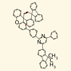 CC1(C)c2ccccc2-c2ccc(-c3cc(-c4ccccc4)nc(-c4ccc(-c5ccc6c(c5)C5(c7ccccc7O6)c6ccccc6C6(c7ccccc7-c7ccccc76)c6ccccc65)cc4)n3)cc21